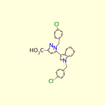 O=C(O)c1cc(-c2cn(Cc3ccc(Cl)cc3)c3ccccc23)n(Cc2ccc(Cl)cc2)n1